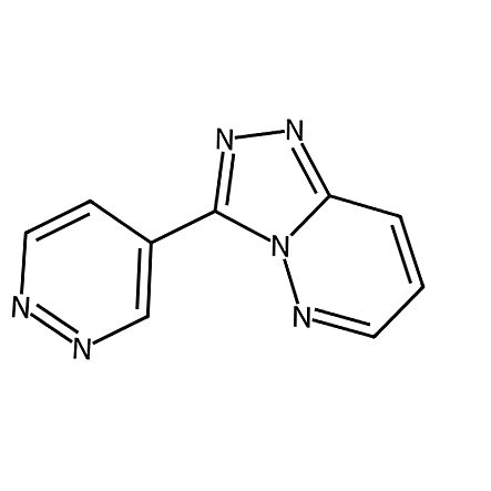 c1cnn2c(-c3ccnnc3)nnc2c1